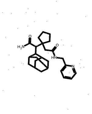 NC(=O)C(C1C2CC3CC(C2)CC1C3)C1(CC(=O)NCc2ccccn2)CCCC1